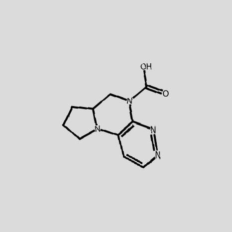 O=C(O)N1CC2CCCN2c2ccnnc21